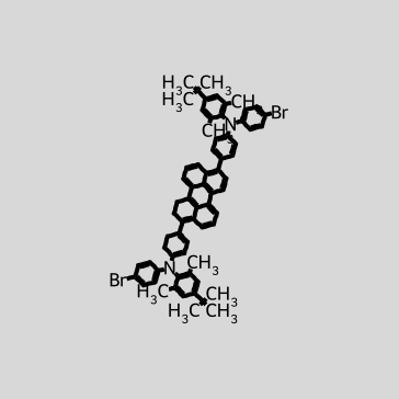 Cc1cc(C(C)(C)C)cc(C)c1N(C1=CC=C(C2=c3cccc4c3c(c3cccc5c(-c6ccc(N(c7ccc(Br)cc7)c7c(C)cc(C(C)(C)C)cc7C)cc6)ccc4c53)CC2)CC1)c1ccc(Br)cc1